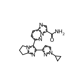 NC(=O)c1cnc2ccc(-c3c(-c4ccn(C5CC5)n4)nc4n3CCC4)nn12